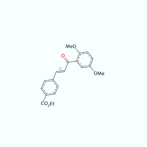 CCOC(=O)c1ccc(/C=C/C(=O)c2cc(OC)ccc2OC)cc1